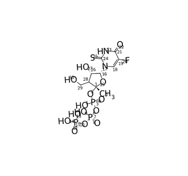 C[C@]1(OP(=O)(O)OP(=O)(O)OP(=O)(O)O)O[C@@H](n2cc(F)c(=O)[nH]c2=S)[C@@H](O)C1CO